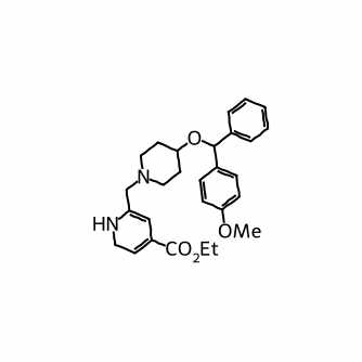 CCOC(=O)C1=CCNC(CN2CCC(OC(c3ccccc3)c3ccc(OC)cc3)CC2)=C1